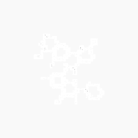 Cc1cc(C(C)Nc2ccc(Cl)nc2-c2cc(F)c3c(c2)C=NOB3O)c2oc(N3CCCCC3)c(C)c(=O)c2c1